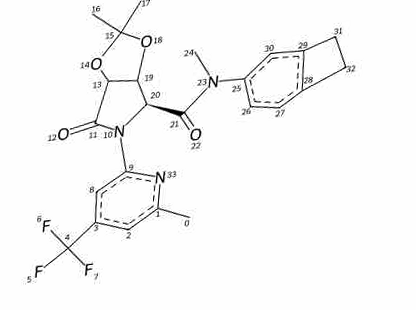 Cc1cc(C(F)(F)F)cc(N2C(=O)C3OC(C)(C)OC3[C@H]2C(=O)N(C)c2ccc3c(c2)CC3)n1